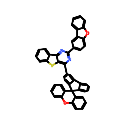 c1ccc2c(c1)Oc1ccccc1C21c2ccccc2-c2cc(-c3nc(-c4ccc5oc6ccccc6c5c4)nc4c3sc3ccccc34)ccc21